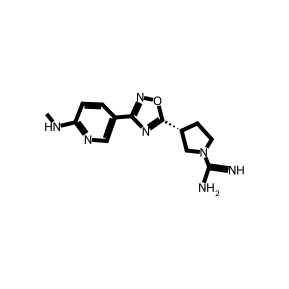 CNc1ccc(-c2noc([C@@H]3CCN(C(=N)N)C3)n2)cn1